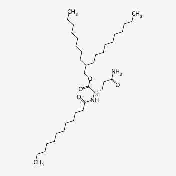 CCCCCCCCCCCC(=O)N[C@@H](CCC(N)=O)C(=O)OCC(CCCCCCCC)CCCCCCCCCC